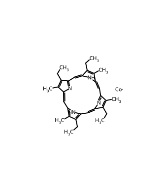 CCC1=C(C)c2cc3[nH]c(cc4nc(cc5[nH]c(cc1n2)c(CC)c5C)C(C)=C4CC)c(CC)c3C.[Co]